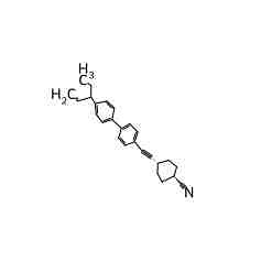 C=CC(CC)c1ccc(-c2ccc(C#C[C@H]3CC[C@H](C#N)CC3)cc2)cc1